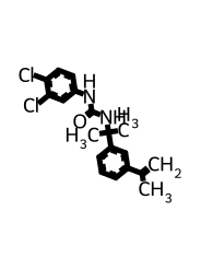 C=C(C)c1cccc(C(C)(C)NC(=O)Nc2ccc(Cl)c(Cl)c2)c1